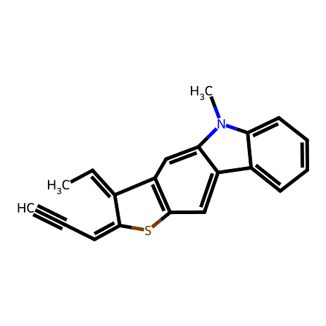 C#C/C=c1/sc2cc3c4ccccc4n(C)c3cc2/c1=C/C